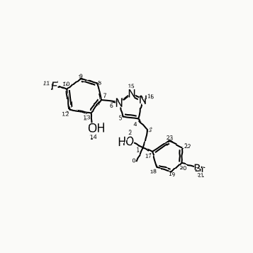 CC(O)(Cc1cn(-c2ccc(F)cc2O)nn1)c1ccc(Br)cc1